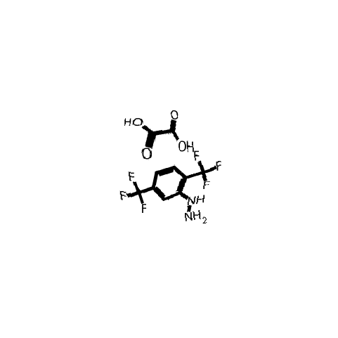 NNc1cc(C(F)(F)F)ccc1C(F)(F)F.O=C(O)C(=O)O